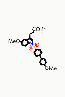 COc1ccc(-c2ccc(S(=O)(=O)n3cc(CCC(=O)O)c4cc(OC)ccc43)cc2)cc1